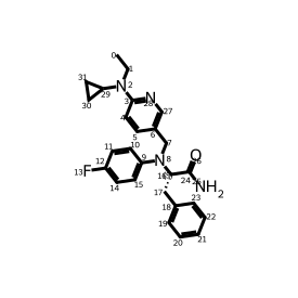 CCN(c1ccc(CN(c2ccc(F)cc2)[C@@H](Cc2ccccc2)C(N)=O)cn1)C1CC1